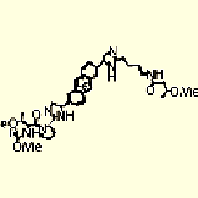 COC(=O)N[C@H](C(=O)N1CCC[C@H]1C1=NCC(c2ccc3c(c2)C2CCC3c3cc(C4CN=C(CCCCNC(=O)C[C@@H](C)OC)N4)ccc32)N1)[C@@H](C)OC